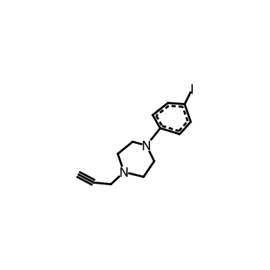 C#CCN1CCN(c2ccc(I)cc2)CC1